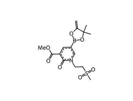 C=C1OB(c2cc(C(=O)OC)c(=O)n(CCS(C)(=O)=O)c2)OC1(C)C